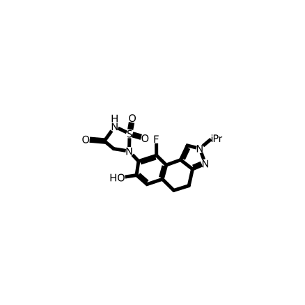 CC(C)n1cc2c(n1)CCc1cc(O)c(N3CC(=O)NS3(=O)=O)c(F)c1-2